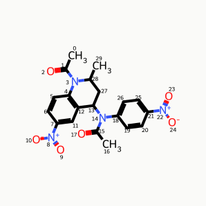 CC(=O)N1c2ccc([N+](=O)[O-])cc2C(N(C(C)=O)c2ccc([N+](=O)[O-])cc2)CC1C